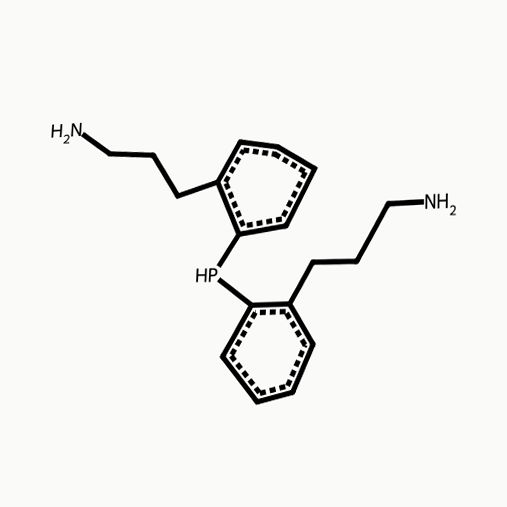 NCCCc1ccccc1Pc1ccccc1CCCN